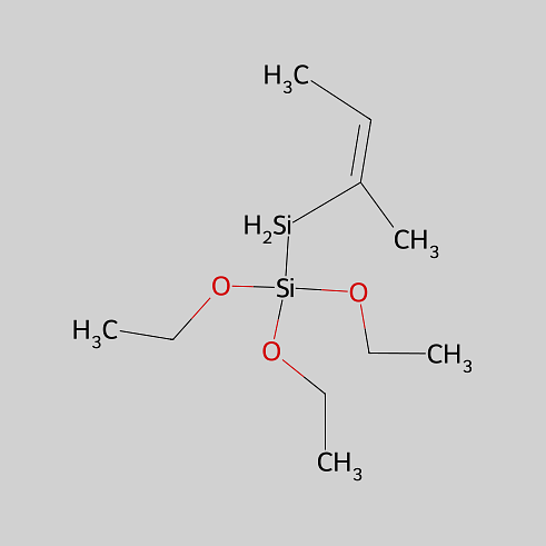 CC=C(C)[SiH2][Si](OCC)(OCC)OCC